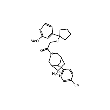 COc1cc(C2(OCC(=O)N3CC4C[C@H](C)C(C3)N4c3ccc(C#N)cn3)CCCC2)ccn1